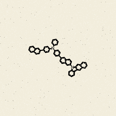 c1ccc(N(c2ccc(-c3ccc4ccccc4c3)cc2)c2ccc(-c3ccc4cc(-n5c6ccccc6c6cc7ccccc7cc65)ccc4c3)cc2)cc1